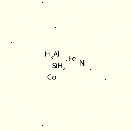 [AlH3].[Co].[Fe].[Ni].[SiH4]